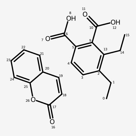 CCc1ccc(C(=O)O)c(C(=O)O)c1CC.O=c1ccc2ccccc2o1